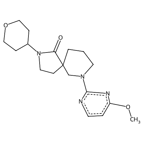 COc1ccnc(N2CCCC3(CCN(C4CCOCC4)C3=O)C2)n1